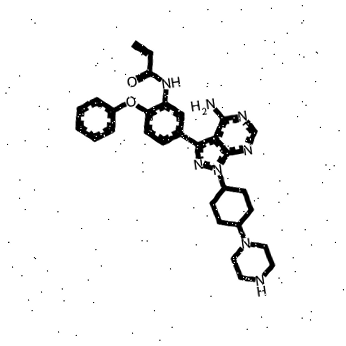 C=CC(=O)Nc1cc(-c2nn(C3CCC(N4CCNCC4)CC3)c3ncnc(N)c23)ccc1Oc1ccccc1